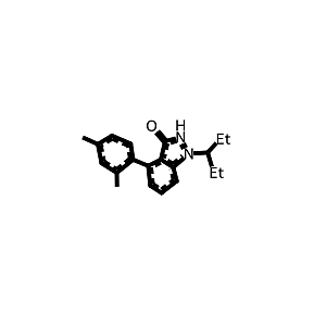 CCC(CC)n1[nH]c(=O)c2c(-c3ccc(C)cc3C)cccc21